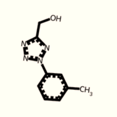 Cc1cccc(-n2nnc(CO)n2)c1